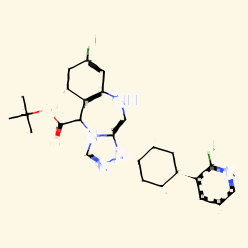 CC(C)(C)OC(=O)C1C2=C(C=C(Cl)CC2)NC=C2N1C=NN2[C@H]1CC[C@H](c2cccnc2Cl)CC1